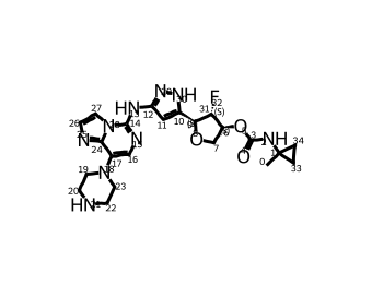 CC1(NC(=O)O[C@H]2CO[C@@H](c3cc(Nc4ncc(N5CCNCC5)c5nccn45)n[nH]3)[C@@H]2F)CC1